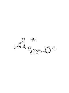 Cl.O=C(CNCCc1ccc(Cl)cc1)OCc1cc(Cl)nc(Cl)c1